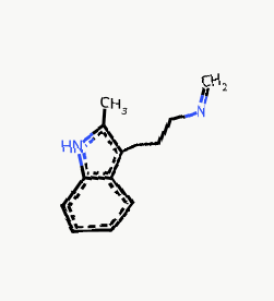 C=NCCc1c(C)[nH]c2ccccc12